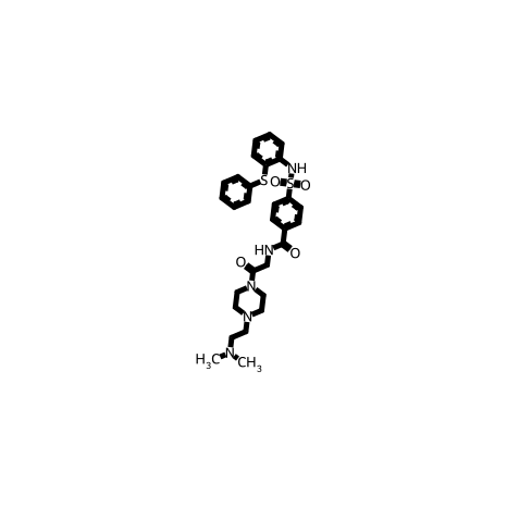 CN(C)CCN1CCN(C(=O)CNC(=O)c2ccc(S(=O)(=O)Nc3ccccc3Sc3ccccc3)cc2)CC1